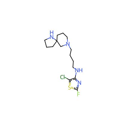 Fc1nc(NCCCCN2CCCC3(CCCN3)C2)c(Cl)s1